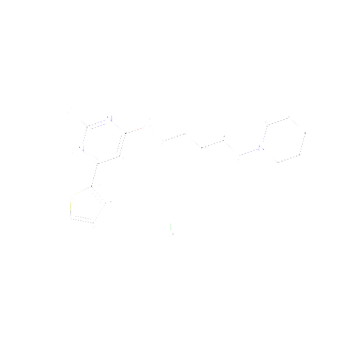 Cc1nc(OCCCCCN2CCCCC2)cc(-c2cccs2)n1.Cl